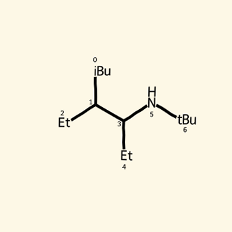 CCC(C)C(CC)C(CC)NC(C)(C)C